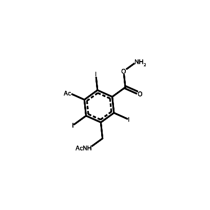 CC(=O)NCc1c(I)c(C(C)=O)c(I)c(C(=O)ON)c1I